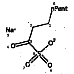 CCCCCCCC(=O)S(=O)(=O)[O-].[Na+]